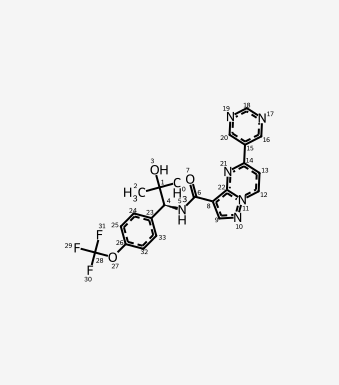 CC(C)(O)[C@@H](NC(=O)c1cnn2ccc(-c3cncnc3)nc12)c1ccc(OC(F)(F)F)cc1